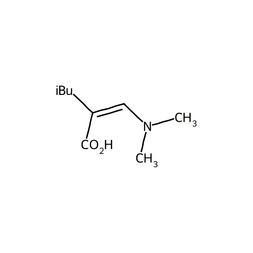 CCC(C)C(=CN(C)C)C(=O)O